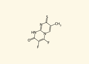 Cc1cn2c(F)c(F)c(=O)[nH]c2nc1=S